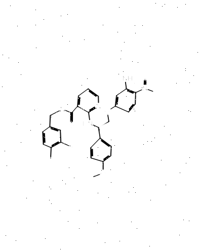 COc1ccc([C@H](COc2ccc([N+](=O)[O-])c(N)c2)Nc2ncccc2C(=O)N[C@@H](C)c2ccc(F)c(F)c2)cc1